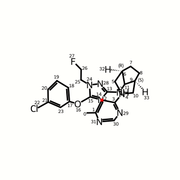 Cc1cc(N2C[C@H]3CC[C@@H](C2)C3Nc2nc(Oc3cccc(Cl)c3)n(CCF)n2)ncn1